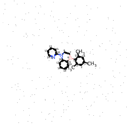 Cc1cc(C)c(B2C=CN(c3ccccn3)c3ccccc32)c(C)c1